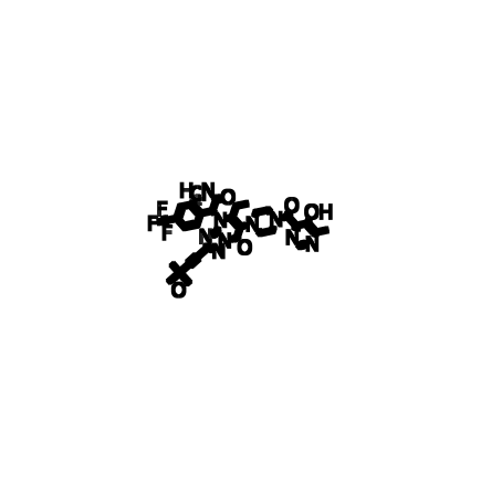 CCc1c(N2CCN(C(=O)c3ncnc(C)c3O)CC2)c(=O)n2nc(C#CC3(C)COC3)nc2n1C(C(N)=O)c1ccc(C(F)(F)F)cc1Cl